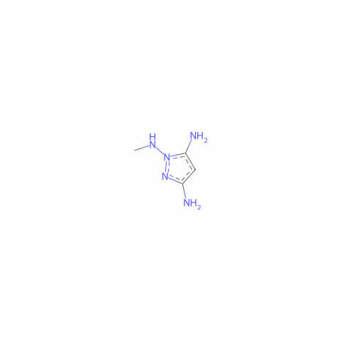 CNn1nc(N)cc1N